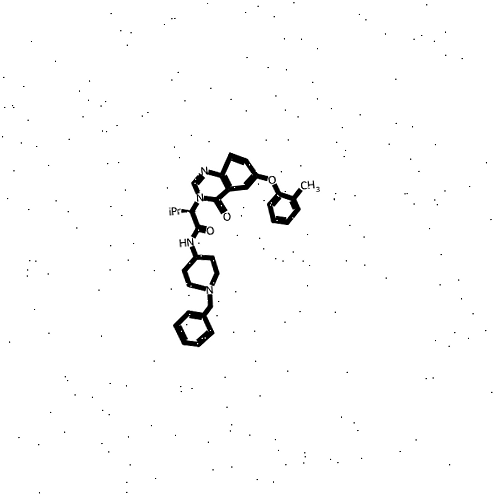 Cc1ccccc1Oc1ccc2ncn([C@@H](C(=O)NC3CCN(Cc4ccccc4)CC3)C(C)C)c(=O)c2c1